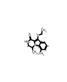 CCOc1c2n(c3c(C)cccc13)C(C)CNC2=O